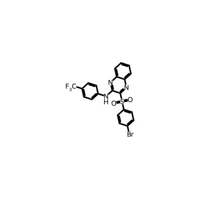 O=S(=O)(c1ccc(Br)cc1)c1nc2ccccc2nc1Nc1ccc(C(F)(F)F)cc1